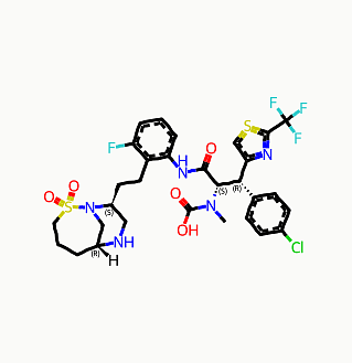 CN(C(=O)O)[C@H](C(=O)Nc1cccc(F)c1CC[C@H]1CN[C@@H]2CCCS(=O)(=O)N1C2)[C@@H](c1ccc(Cl)cc1)c1csc(C(F)(F)F)n1